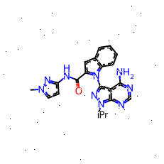 CC(C)n1nc(-n2c(C(=O)Nc3ccn(C)n3)cc3ccccc32)c2c(N)ncnc21